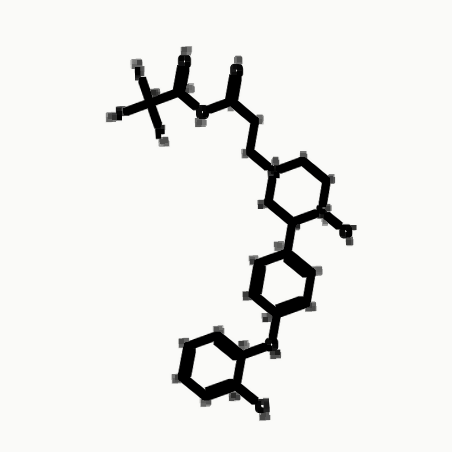 O=C(CCN1CC[S+]([O-])C(c2ccc(Oc3ccccc3Cl)cc2)C1)OC(=O)C(F)(F)F